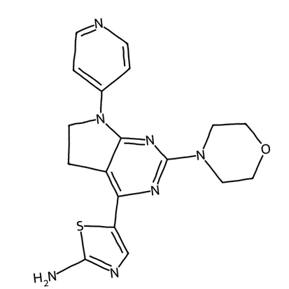 Nc1ncc(-c2nc(N3CCOCC3)nc3c2CCN3c2ccncc2)s1